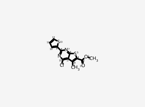 COC(=O)c1sc2nc(-c3cccs3)nc(Cl)c2c1C